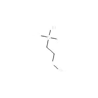 CC(C)(C)SCC[N+](C)(C)C